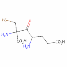 NC(CCC(=O)O)C(=O)C(N)(CS)C(=O)O